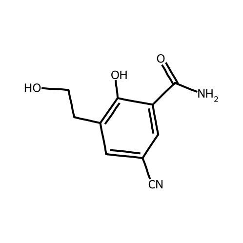 N#Cc1cc(CCO)c(O)c(C(N)=O)c1